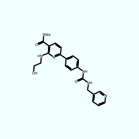 CNC(=O)c1ccc(-c2ccc(NC(=O)NCc3cccnc3)cc2)nc1NCCO